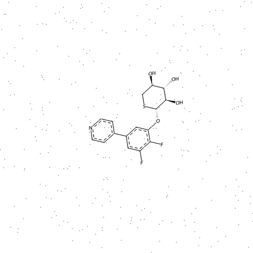 O[C@@H]1[C@@H](O)[C@H](Oc2cc(-c3ccncc3)cc(F)c2F)SC[C@H]1O